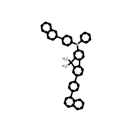 CC1(C)c2cc(-c3ccc(-c4cccc5ccccc45)cc3)ccc2-c2ccc(N(c3ccccc3)c3ccc(-c4ccc5ccccc5c4)cc3)cc21